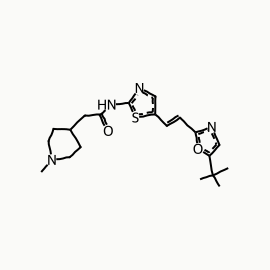 CN1CCC(CC(=O)Nc2ncc(/C=C/c3ncc(C(C)(C)C)o3)s2)CC1